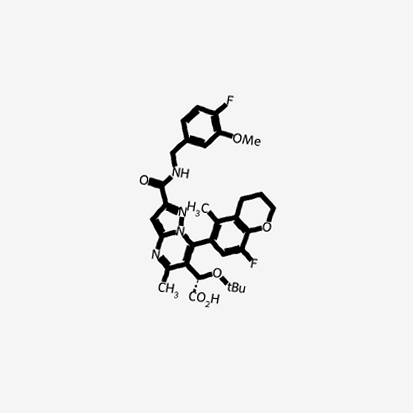 COc1cc(CNC(=O)c2cc3nc(C)c([C@H](OC(C)(C)C)C(=O)O)c(-c4cc(F)c5c(c4C)CCCO5)n3n2)ccc1F